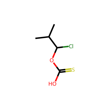 CC(C)C(Cl)OC(O)=S